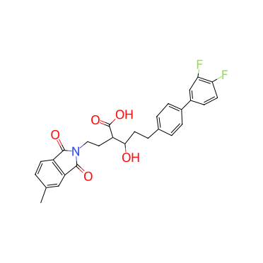 Cc1ccc2c(c1)C(=O)N(CCC(C(=O)O)C(O)CCc1ccc(-c3ccc(F)c(F)c3)cc1)C2=O